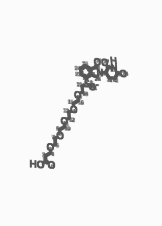 O=C(O)CCOCCOCCOCCOCCOCC[S+]([O-])c1cccc2c1CN(C1CCC(=O)NC1=O)C2=O